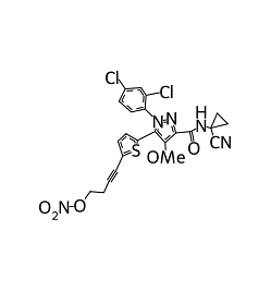 COc1c(C(=O)NC2(C#N)CC2)nn(-c2ccc(Cl)cc2Cl)c1-c1ccc(C#CCCO[N+](=O)[O-])s1